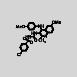 COc1ccc(Nc2c(NC(=O)NS(=O)(=O)c3ccc(Cl)cc3)c(C)nc3ccc(OC)cc23)cc1